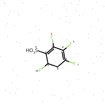 O=S(=O)(O)C1=C(F)C(F)=C(F)CC1F